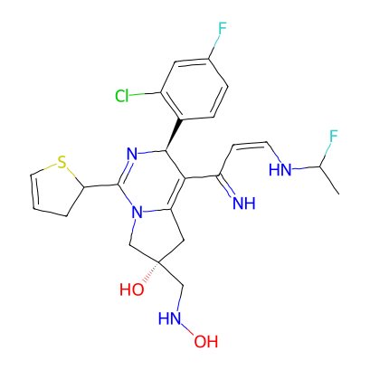 CC(F)N/C=C\C(=N)C1=C2C[C@@](O)(CNO)CN2C(C2CC=CS2)=N[C@H]1c1ccc(F)cc1Cl